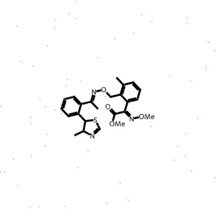 CO/N=C(/C(=O)OC)c1cccc(C)c1CO/N=C(\C)c1ccccc1C1SC=NC1C